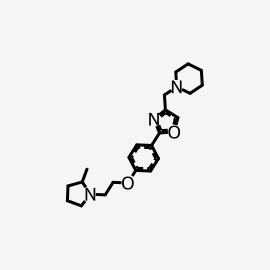 CC1CCCN1CCOc1ccc(-c2nc(CN3CCCCC3)co2)cc1